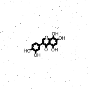 O=c1c(-c2ccc(O)c(O)c2)coc2c(O)c(O)cc(O)c12